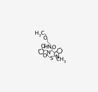 CCOCCCNC(=O)C1c2c(n(C)c3ccccc23)SCC(=O)N1Cc1ccccc1Cl